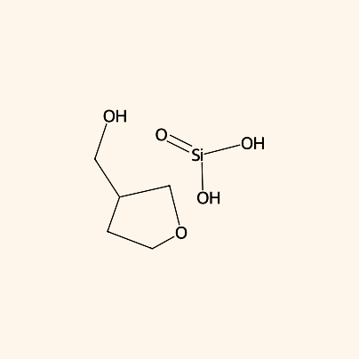 O=[Si](O)O.OCC1CCOC1